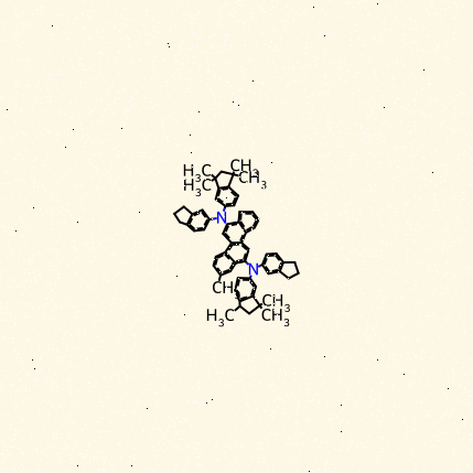 Cc1ccc2c(c1)c(N(c1ccc3c(c1)CCC3)c1ccc3c(c1)C(C)(C)CC3C)cc1c3ccccc3c(N(c3ccc4c(c3)CCC4)c3ccc4c(c3)C(C)(C)CC4(C)C)cc21